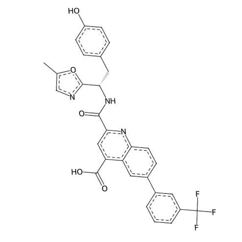 Cc1cnc([C@H](Cc2ccc(O)cc2)NC(=O)c2cc(C(=O)O)c3cc(-c4cccc(C(F)(F)F)c4)ccc3n2)o1